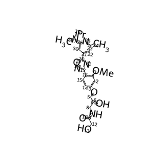 COc1cc(OC[C@H](O)CNC(=O)CO)ccc1-c1noc(-c2cc(C)nc(N(C)C(C)C)c2)n1